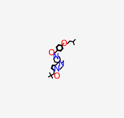 CC(C)CCOc1ccc(C(=O)N2CCC3(CC2)c2ccc(C(=O)C(C)(C)C)n2CCN3C)cc1